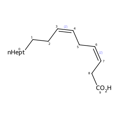 CCCCCCCCC/C=C\C/C=C\CC(=O)O